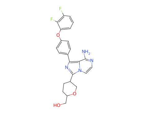 Nc1nccn2c(C3CCC(CO)OC3)nc(-c3ccc(Oc4cccc(F)c4F)cc3)c12